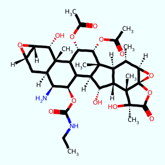 CCNC(=O)O[C@@H]1C2C([C@H](OC(C)=O)[C@H](OC(C)=O)[C@]3(C)[C@H]4[C@H](C)[C@H]5O[C@]56OC(=O)[C@@](C)(O)[C@]6(C)[C@@H]4[C@H](O)[C@@H]23)[C@]2(C)[C@H](C[C@@H]3O[C@@H]3[C@@H]2O)[C@@H]1N